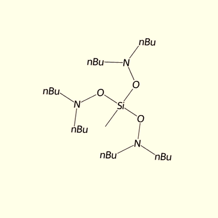 CCCCN(CCCC)O[Si](C)(ON(CCCC)CCCC)ON(CCCC)CCCC